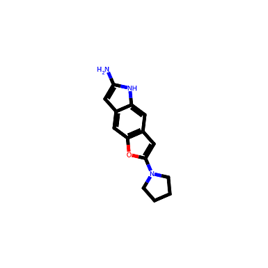 Nc1cc2cc3oc(N4CCCC4)cc3cc2[nH]1